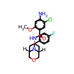 COc1cc(N)c(Cl)cc1C(=O)N[C@H]1C[C@H]2COC[C@@H](C1)N2Cc1ccc(F)cc1